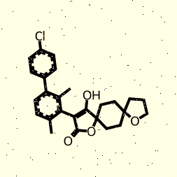 Cc1ccc(-c2ccc(Cl)cc2)c(C)c1C1=C(O)C2(CCC3(CCCO3)CC2)OC1=O